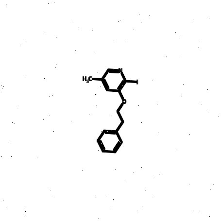 Cc1cnc(I)c(OCCc2ccccc2)c1